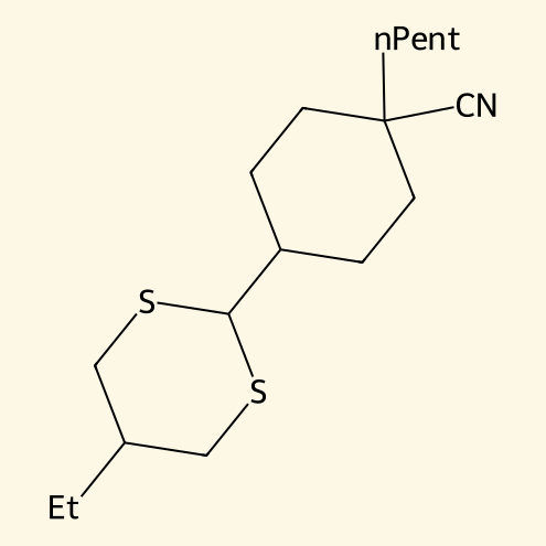 CCCCCC1(C#N)CCC(C2SCC(CC)CS2)CC1